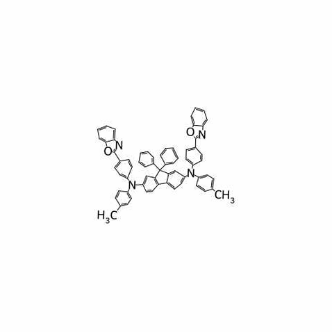 Cc1ccc(N(c2ccc(-c3nc4ccccc4o3)cc2)c2ccc3c(c2)C(c2ccccc2)(c2ccccc2)c2cc(N(c4ccc(C)cc4)c4ccc(-c5nc6ccccc6o5)cc4)ccc2-3)cc1